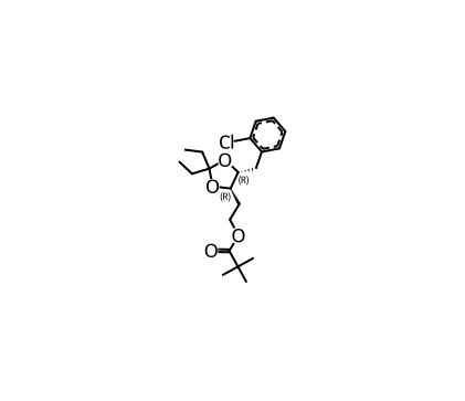 CCC1(CC)O[C@H](CCOC(=O)C(C)(C)C)[C@@H](Cc2ccccc2Cl)O1